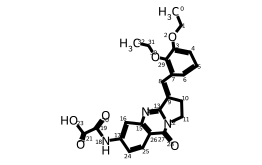 CCOc1cccc(C=C2CCn3c2nc2cc(NC(=O)C(=O)O)ccc2c3=O)c1OCC